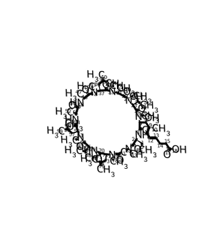 CC[C@@H]1NC(=O)[C@H]([C@H](O)[C@H](C)C/C=C/CCC(=O)O)N(C)C(=O)[C@H](C(C)C)N(C)C(=O)[C@H](C)N(C)C(=O)[C@H](CC(C)C)N(C)C(=O)[C@@H](C)NC(=O)[C@H](C)NC(=O)[C@H](CC(C)C)N(C)C(=O)[C@H](C(C)C)NC(=O)[C@H](CC(C)C)N(C)C(=O)CN(C)C1=O